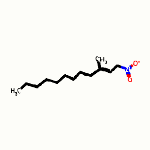 CCCCCCCCC/C(C)=C/C[N+](=O)[O-]